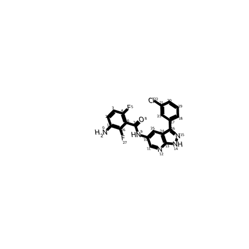 Nc1ccc(F)c(C(=O)Nc2cnc3[nH]nc(-c4cccc(Cl)c4)c3c2)c1F